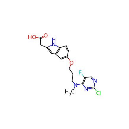 CN(CCCOc1ccc2[nH]c(CC(=O)O)cc2c1)c1nc(Cl)ncc1F